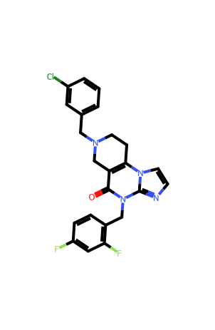 O=c1c2c(n3ccnc3n1Cc1ccc(F)cc1F)CCN(Cc1cccc(Cl)c1)C2